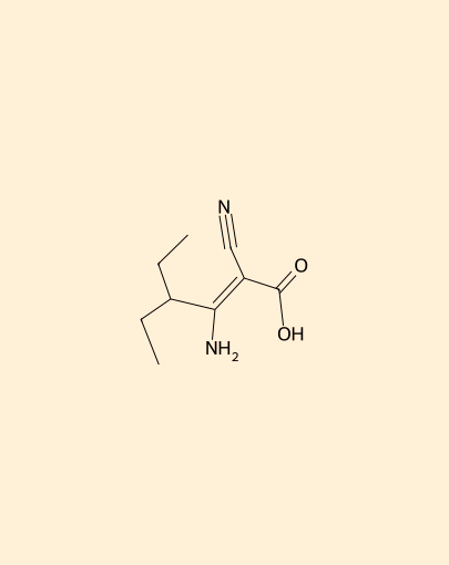 CCC(CC)C(N)=C(C#N)C(=O)O